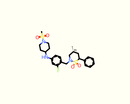 C[C@@H]1CC(c2ccccc2)S(=O)(=O)N(Cc2ccc(NC3CCN(S(C)(=O)=O)CC3)cc2F)C1